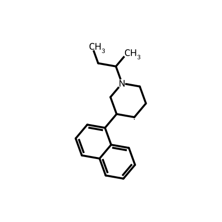 CCC(C)N1CC[CH]C(c2cccc3ccccc23)C1